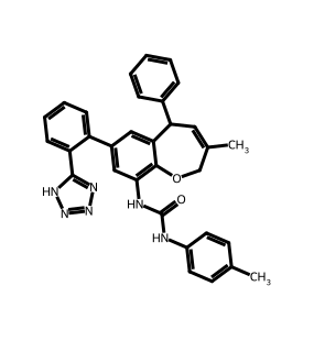 CC1=CC(c2ccccc2)c2cc(-c3ccccc3-c3nnn[nH]3)cc(NC(=O)Nc3ccc(C)cc3)c2OC1